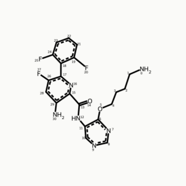 NCCCCOc1ncncc1NC(=O)c1nc(-c2c(F)cccc2F)c(F)cc1N